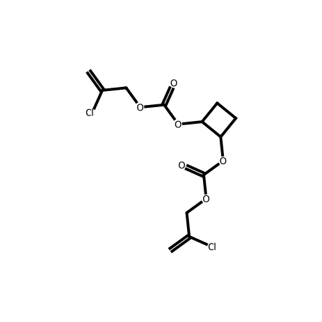 C=C(Cl)COC(=O)OC1CCC1OC(=O)OCC(=C)Cl